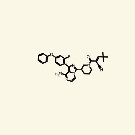 CC(C)(C)C=C(C#N)C(=O)N1CCC[C@@H](c2nc(-c3ccc(Oc4ccccc4)cc3F)c3c(N)nccn23)C1